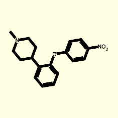 CN1CCC(c2ccccc2Oc2ccc([N+](=O)[O-])cc2)CC1